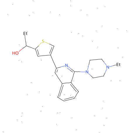 CCC(O)c1cc(-c2cc3ccccc3c(N3CCN(CC)CC3)n2)cs1